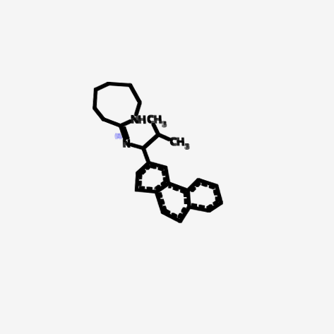 CC(C)C(/N=C1/CCCCCCN1)c1ccc2ccc3ccccc3c2c1